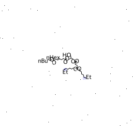 CC/C=C\CCCCOC(CCC(=O)OCC(CO)COC(=O)CCCCCC(=O)OCC(CCCC)CCCCCC)OCCCC/C=C\CC